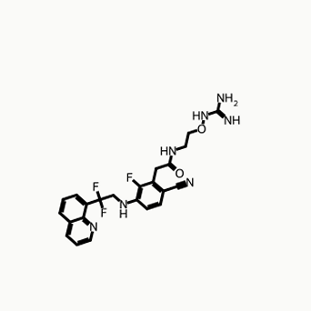 N#Cc1ccc(NCC(F)(F)c2cccc3cccnc23)c(F)c1CC(=O)NCCONC(=N)N